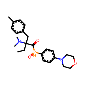 CCC(Cc1ccc(C)cc1)(C(=O)[PH](=O)c1ccc(N2CCOCC2)cc1)N(C)C